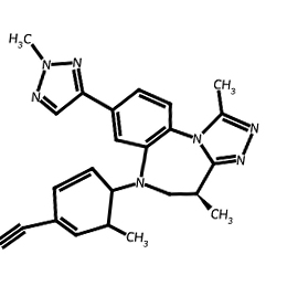 Cc1nnc2n1-c1ccc(-c3cnn(C)n3)cc1N(C1C=CC(C#N)=CC1C)C[C@@H]2C